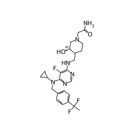 CC(F)(F)c1ccc(CN(c2ncnc(NCC3CCN(CC(N)=O)C[C@@H]3O)c2F)C2CC2)cc1